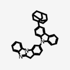 c1ccc2c(c1)nc1n2-c2cc(-n3c4ccccc4c4cc(C56CC7CC(CC(C7)C5)C6)ccc43)ccc2C1